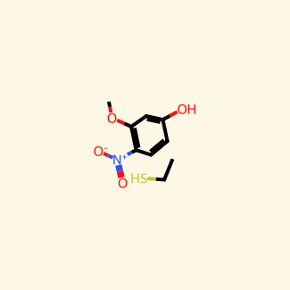 CCS.COc1cc(O)ccc1[N+](=O)[O-]